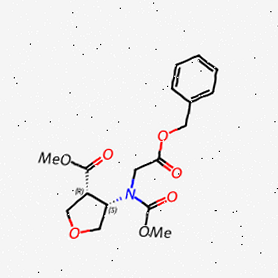 COC(=O)[C@H]1COC[C@H]1N(CC(=O)OCc1ccccc1)C(=O)OC